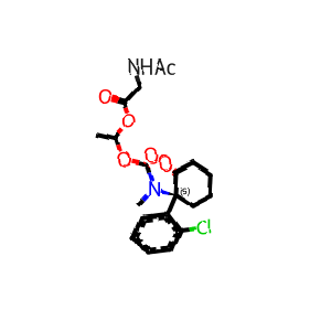 CC(=O)NCC(=O)OC(C)OC(=O)N(C)[C@]1(c2ccccc2Cl)CCCCC1=O